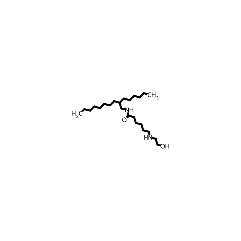 CCCCCCCCC(CCCCCC)CNC(=O)CCCCCNCCO